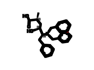 C[C@H](C[C@H](O)[C@H](Cc1ccccc1)N(Cc1ccccc1)Cc1ccccc1)C(=O)O